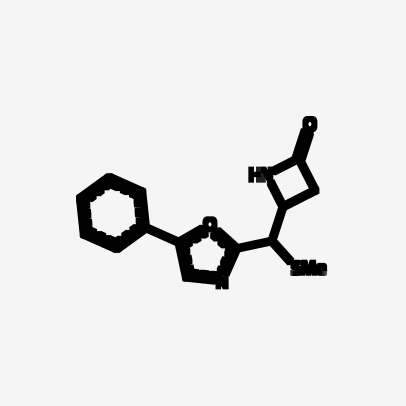 CSC(c1ncc(-c2ccccc2)o1)C1CC(=O)N1